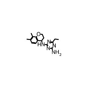 CCc1nc(N)nc(NC2CCOc3c2ccc(C)c3C)n1